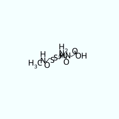 CNC(=O)CSSC[C@H](N)C(=O)NCC(=O)O